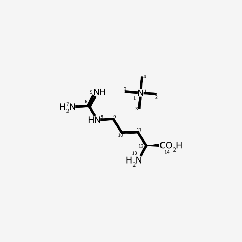 C[N+](C)(C)C.N=C(N)NCCC[C@H](N)C(=O)O